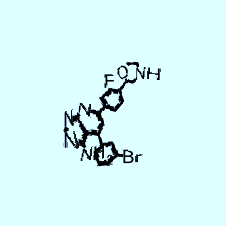 Nc1ncnc2nc(-c3ccc(C4CNCCO4)c(F)c3)cc(-c3cccc(Br)c3)c12